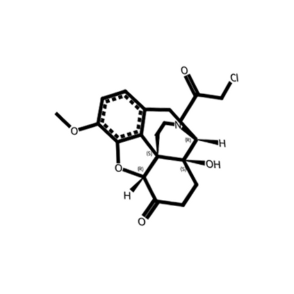 COc1ccc2c3c1O[C@H]1C(=O)CC[C@@]4(O)[C@@H](C2)N(C(=O)CCl)CC[C@]314